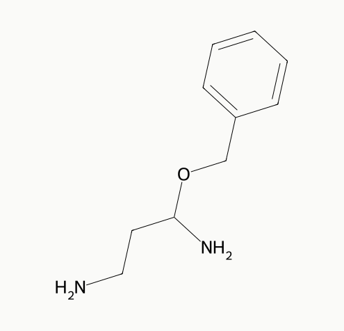 NCCC(N)OCc1ccccc1